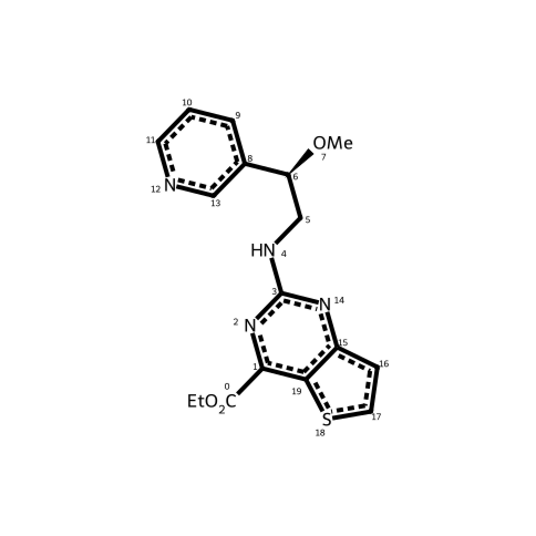 CCOC(=O)c1nc(NC[C@H](OC)c2cccnc2)nc2ccsc12